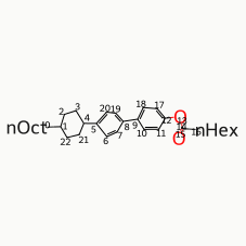 CCCCCCCCC1CCC(c2ccc(-c3ccc(OC(=O)CCCCCC)cc3)cc2)CC1